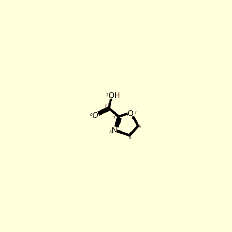 O=C(O)C1=NCCO1